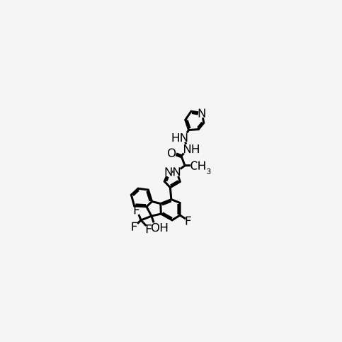 CC(C(=O)NNc1ccncc1)n1cc(-c2cc(F)cc3c2-c2ccccc2C3(O)C(F)(F)F)cn1